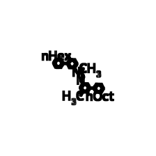 CCCCCCCCc1c(C)cc(N=CC(C)=Nc2ccc(CCCCCC)c(-c3ccccc3)c2)cc1-c1ccccc1